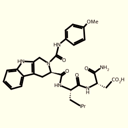 COc1ccc(NC(=O)N2Cc3[nH]c4ccccc4c3C[C@@H]2C(=O)N[C@@H](CC(C)C)C(=O)N[C@@H](CC(=O)O)C(N)=O)cc1